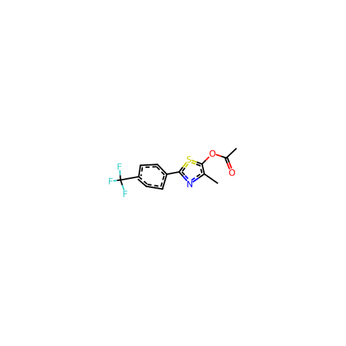 CC(=O)Oc1sc(-c2ccc(C(F)(F)F)cc2)nc1C